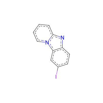 Ic1ccc2nc3ccccn3c2c1